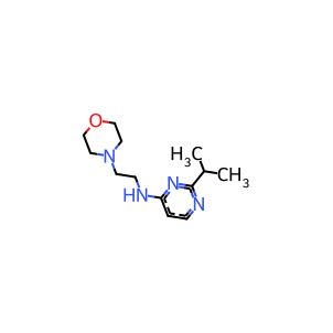 CC(C)c1nccc(NCCN2CCOCC2)n1